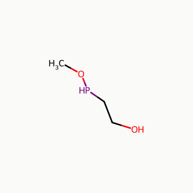 COPCCO